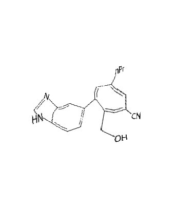 CCCc1cc(C#N)c(CO)c(-c2ccc3[nH]cnc3c2)c1